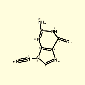 N#[N+]n1cnc2c(=O)[nH]c(N)nc21